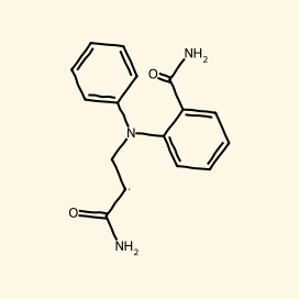 NC(=O)[CH]CN(c1ccccc1)c1ccccc1C(N)=O